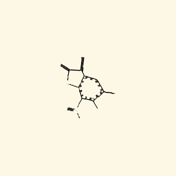 O=C1Nc2c(cc(Cl)c(Cl)c2[N+](=O)[O-])C1=O